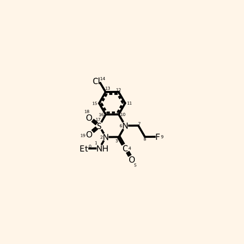 CCNN1C(=C=O)N(CCF)c2ccc(Cl)cc2S1(=O)=O